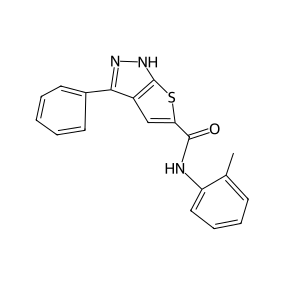 Cc1ccccc1NC(=O)c1cc2c(-c3ccccc3)n[nH]c2s1